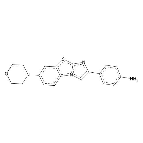 Nc1ccc(-c2cn3c(n2)sc2cc(N4CCOCC4)ccc23)cc1